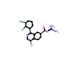 NC(N)=NC(=O)c1ccc2c(Cl)cnc(-c3cccc(Cl)c3F)c2c1